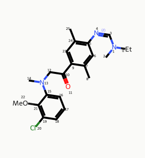 CCN(C)/C=N\c1cc(C)c(C(=O)CN(C)c2cccc(Cl)c2OC)cc1C